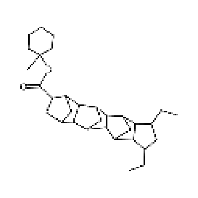 CCC1CC(CC)C2C3CC(C12)C1C2CC(C4C5CC(CC5C(=O)OC5(C)CCCCC5)C24)C31